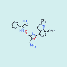 C=C(N)[C@H](NOCc1nc(-c2ccc(OC)c3nc(C(F)(F)F)ccc23)oc1CN)c1ccccc1